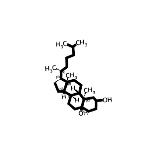 CC(C)CCC[C@@H](C)[C@H]1CC[C@H]2[C@@H]3CCC4(O)CCC(O)C[C@]4(C)[C@H]3CC[C@]12C